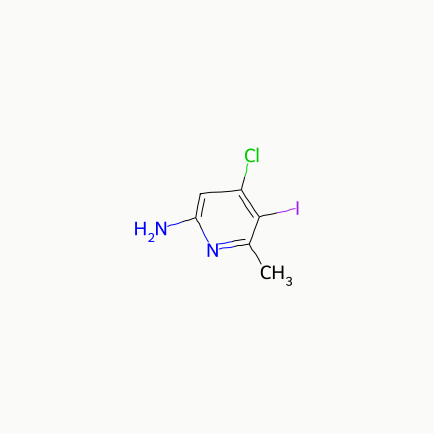 Cc1nc(N)cc(Cl)c1I